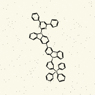 c1ccc(-c2cc(-c3ccccc3)nc(-n3c4ccccc4c4cc(-c5ccc6c(c5)c5ccccc5p6-c5cccc([Si](c6ccccc6)(c6ccccc6)c6ccccc6)c5)ccc43)n2)cc1